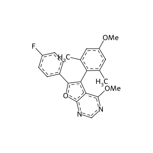 COc1cc(C)c(-c2c(-c3ccc(F)cc3)oc3ncnc(OC)c23)c(C)c1